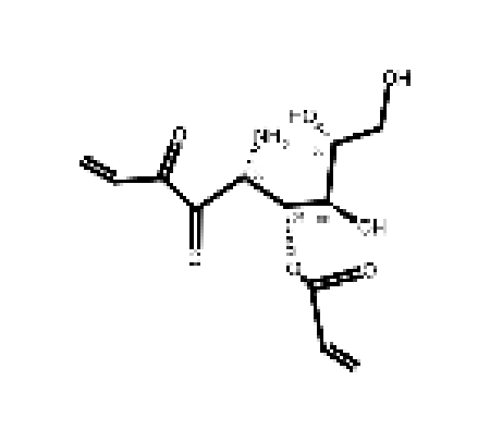 C=CC(=O)O[C@@H]([C@H](O)[C@H](O)CO)[C@@H](N)C(=O)C(=O)C=C